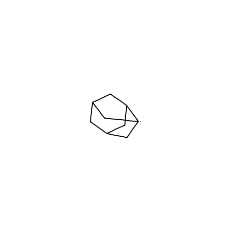 C1[C]2CC3CC1CC2C3